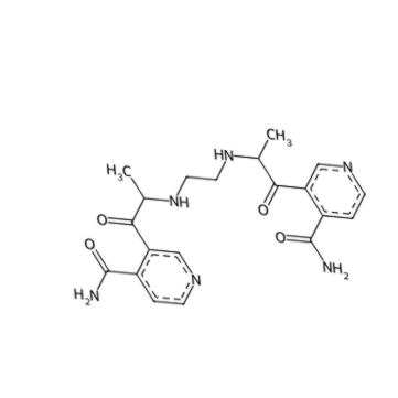 CC(NCCNC(C)C(=O)c1cnccc1C(N)=O)C(=O)c1cnccc1C(N)=O